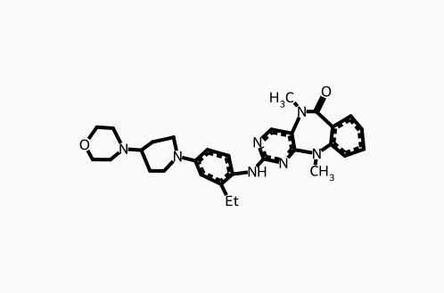 CCc1cc(N2CCC(N3CCOCC3)CC2)ccc1Nc1ncc2c(n1)N(C)c1ccccc1C(=O)N2C